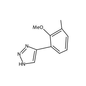 COc1c(C)cccc1-c1c[nH]nn1